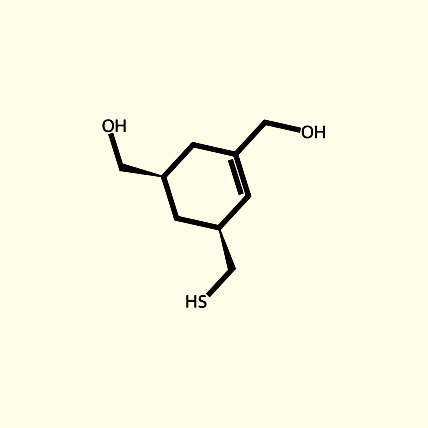 OCC1=C[C@@H](CS)C[C@@H](CO)C1